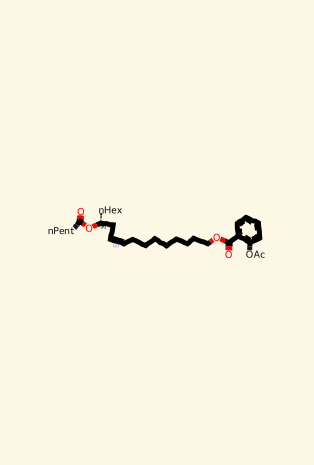 CCCCCC[C@H](C/C=C\CCCCCCCCOC(=O)c1ccccc1OC(C)=O)OC(=O)CCCCC